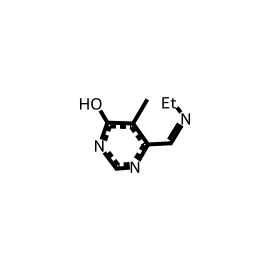 CC/N=C\c1ncnc(O)c1C